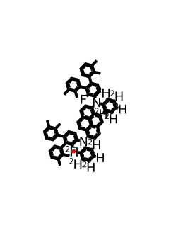 [2H]c1c([2H])c([2H])c(N(c2ccc(-c3cccc(C)c3C)c(-c3cccc(C)c3C)c2F)c2ccc3ccc4c(N(c5ccc(-c6cccc(C)c6C)c(-c6cccc(C)c6C)c5F)c5c([2H])c([2H])c([2H])c([2H])c5[2H])ccc5ccc2c3c54)c([2H])c1[2H]